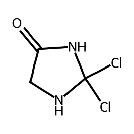 O=C1CNC(Cl)(Cl)N1